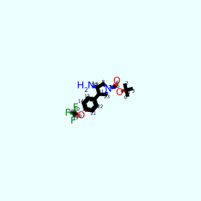 CC(C)(C)OC(=O)N1CC(N)C(c2ccc(OC(F)(F)F)cc2)C1